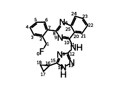 FCc1ccccc1-c1nc(Nc2n[nH]c(C3CC3)n2)c2ccccc2n1